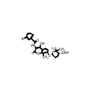 CO[C@@H]1CC[C@H](Oc2ccc3c(O)c(NC(=O)c4cccc(Br)c4)c(=O)oc3c2C)OC1(C)C